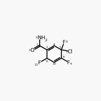 NC(=O)C1=CC(F)(Cl)C(F)=CC1F